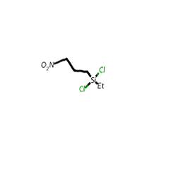 CC[Si](Cl)(Cl)CCC[N+](=O)[O-]